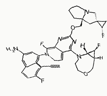 C#Cc1c(F)ccc2cc(N)cc(N3CC=c4c(N5CCOC[C@H]6[C@H](F)[C@H]65)nc(OC[C@@]56CCCN5C[C@@]5(C[C@@H]5F)C6)nc4=C3F)c12